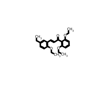 CCOc1ccc(CC)cc1C=CC(=O)c1c(OCC)cccc1OCC